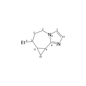 CCC1CCn2ccnc2C2CC12